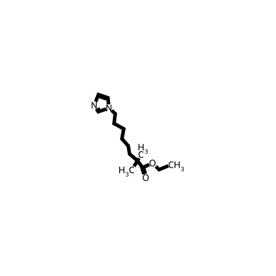 CCOC(=O)C(C)(C)CCCCCCn1ccnc1